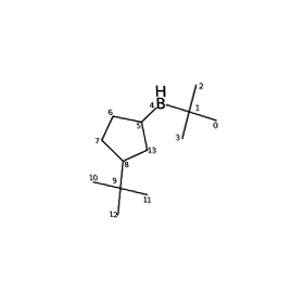 CC(C)(C)BC1CCC(C(C)(C)C)C1